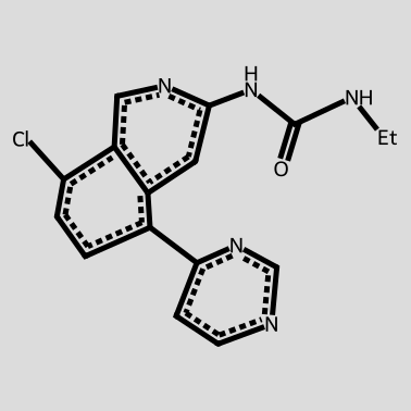 CCNC(=O)Nc1cc2c(-c3ccncn3)ccc(Cl)c2cn1